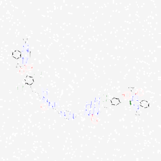 O=C(NCCCc1cc(Cl)c(COC2(C(=O)N3CCN(C4CC4)c4ccccc43)CC2)cc1Cl)NCCCN1CCN(CCCNC(=O)NCCCc2cc(Cl)c(COC3(C(=O)N4CCN(C5CC5)c5ccccc54)CC3)cc2Cl)CC1